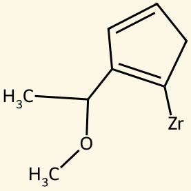 COC(C)C1=[C]([Zr])CC=C1